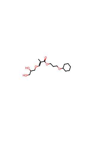 CC(=COCC(O)CO)C(=O)OCCCOC1CCCCC1